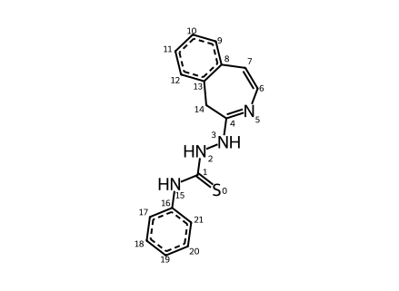 S=C(NNC1=NC=Cc2ccccc2C1)Nc1ccccc1